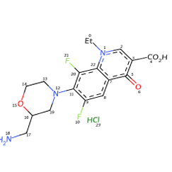 CCn1cc(C(=O)O)c(=O)c2cc(F)c(N3CCOC(CN)C3)c(F)c21.Cl